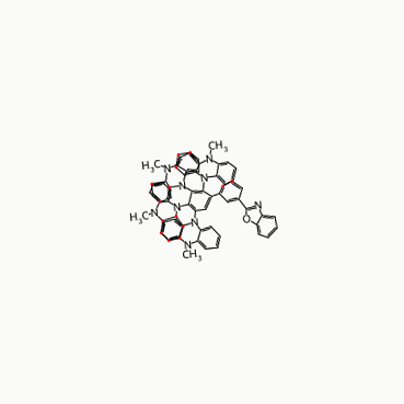 CN1c2ccccc2N(c2cc(-c3cccc(-c4nc5ccccc5o4)c3)c(N3c4ccccc4N(C)c4ccccc43)c(N3c4ccccc4N(C)c4ccccc43)c2N2c3ccccc3N(C)c3ccccc32)c2ccccc21